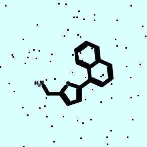 NCc1ccc(-c2cccc3ccccc23)o1